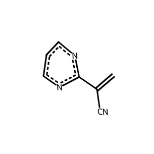 C=C(C#N)c1ncccn1